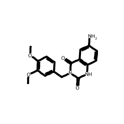 COc1ccc(Cn2c(=O)[nH]c3ccc(N)cc3c2=O)cc1OC